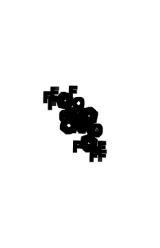 CC1(n2c3c(NC(=O)c4cc(F)cc(C(F)(F)F)c4)cccc3c(=O)n2C(=O)c2cc(F)cc(C(F)(F)F)c2)CCCCC1